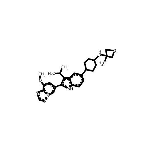 COc1cc(-c2[nH]c3ccc(C4CCC(NC5(C)COC5)CC4)cc3c2C(C)C)cn2ncnc12